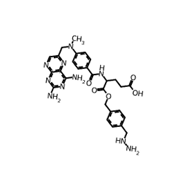 CN(Cc1cnc2nc(N)nc(N)c2n1)c1ccc(C(=O)NC(CCC(=O)O)C(=O)OCc2ccc(CNN)cc2)cc1